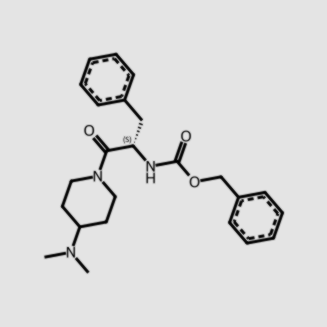 CN(C)C1CCN(C(=O)[C@H](Cc2ccccc2)NC(=O)OCc2ccccc2)CC1